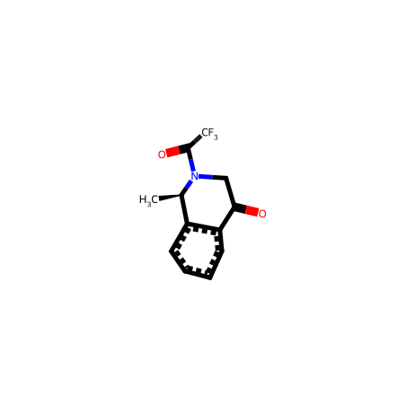 C[C@@H]1c2ccccc2C(=O)CN1C(=O)C(F)(F)F